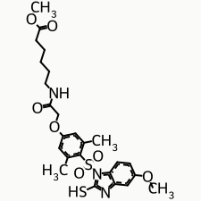 COC(=O)CCCCCNC(=O)COc1cc(C)c(S(=O)(=O)n2c(S)nc3cc(OC)ccc32)c(C)c1